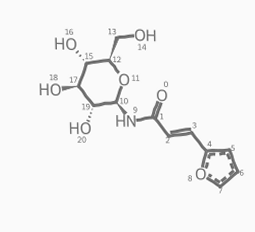 O=C(C=Cc1ccco1)N[C@@H]1O[C@H](CO)[C@@H](O)[C@H](O)[C@H]1O